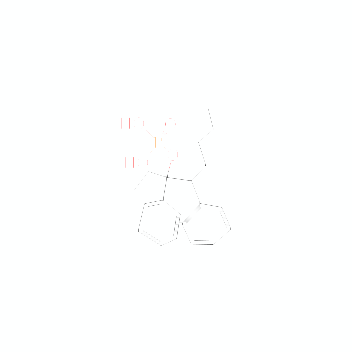 CCCCC(c1ccccc1)C(CC)(OP(=O)(O)O)c1ccccc1